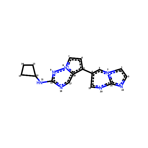 c1cn2cc(-c3ccn4nc(NC5CCC5)ncc34)cnc2n1